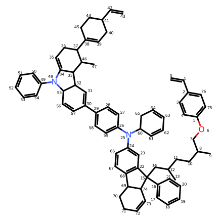 C=Cc1ccc(OCC(C)CCC(C)CC2(c3ccccc3)c3cc(N(c4ccc(C5=CC6C7C(=CCC(C8=CCC(C=C)CC8)C7C)N(c7ccccc7)C6C=C5)cc4)C4C=CC=CC4)ccc3C3CCC=CC32)cc1